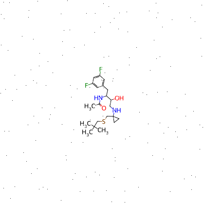 CC(=O)NC(Cc1cc(F)cc(F)c1)C(O)CNC1(CSCC(C)(C)C)CC1